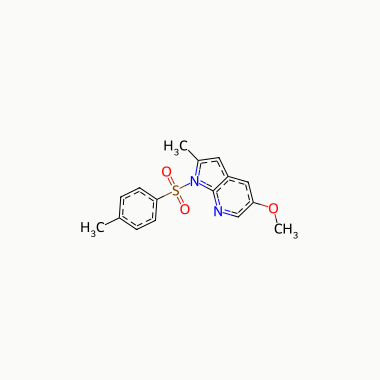 COc1cnc2c(c1)cc(C)n2S(=O)(=O)c1ccc(C)cc1